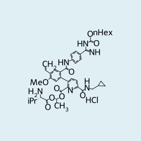 C=Cc1cc(C(=O)Nc2ccc(C(=N)NC(=O)OCCCCCC)cc2)c(-c2ccc(C(=O)NCC3CC3)nc2C(=O)OC(C)OC(=O)[C@@H](N)C(C)C)cc1OC.Cl